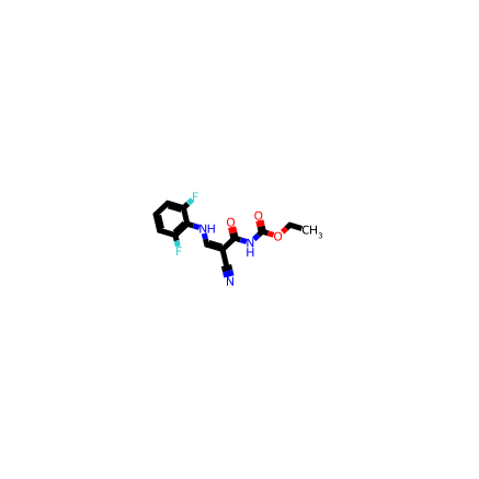 CCOC(=O)NC(=O)C(C#N)=CNc1c(F)cccc1F